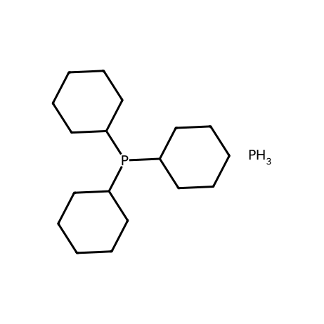 C1CCC(P(C2CCCCC2)C2CCCCC2)CC1.P